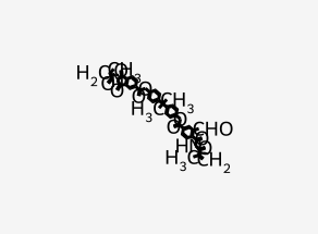 C=C(C)C(=O)NC(=O)c1ccc(C(=O)Oc2ccc(C(C)(C)c3ccc(OC(=O)c4ccc5c(c4)C(=O)N(C(=O)C(=C)C)C5=O)cc3)cc2)cc1C=O